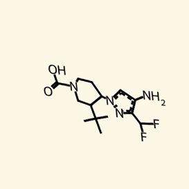 CC(C)(C)C1CN(C(=O)O)CCC1n1cc(N)c(C(F)F)n1